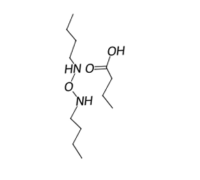 CCCC(=O)O.CCCCNONCCCC